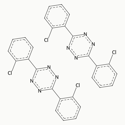 Clc1ccccc1-c1nnc(-c2ccccc2Cl)nn1.Clc1ccccc1-c1nnc(-c2ccccc2Cl)nn1